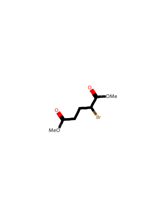 COC(=O)CCC(Br)C(=O)OC